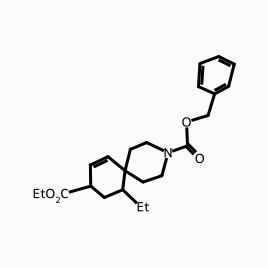 [CH2]CC1CC(C(=O)OCC)C=CC12CCN(C(=O)OCc1ccccc1)CC2